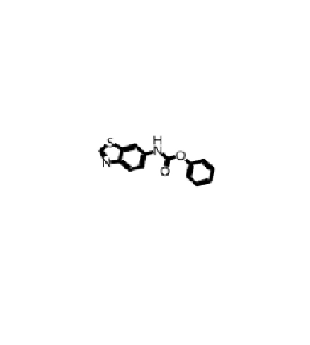 O=C(Nc1ccc2ncsc2c1)Oc1ccccc1